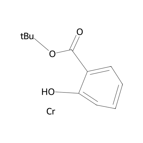 CC(C)(C)OC(=O)c1ccccc1O.[Cr]